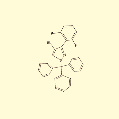 Fc1cccc(F)c1-c1nn(C(c2ccccc2)(c2ccccc2)c2ccccc2)cc1Br